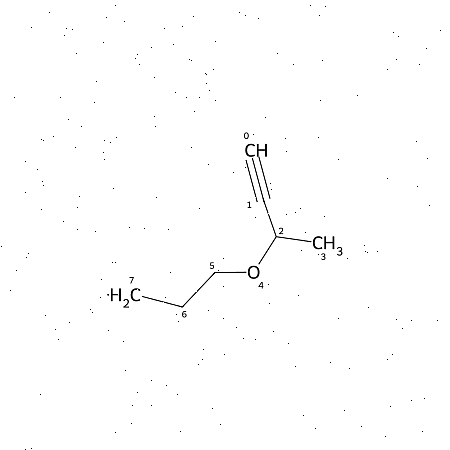 C#CC(C)OCC[CH2]